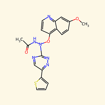 COc1ccc2c(ON(NC(C)=O)c3ncc(-c4cccs4)nn3)ccnc2c1